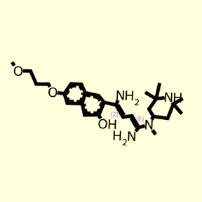 COCCCOc1ccc2cc(/C(N)=C/C=C(\N)N(C)C3CC(C)(C)NC(C)(C)C3)c(O)cc2c1